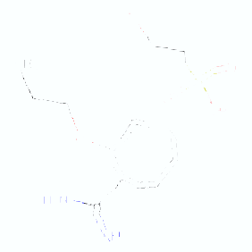 CCCOc1ccccc1C(=N)N.O=S(=O)(O)CCO